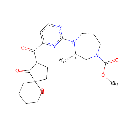 C[C@H]1CN(C(=O)OC(C)(C)C)CCCN1c1nccc(C(=O)C2CCC3(CCCCC34OCCO4)C2=O)n1